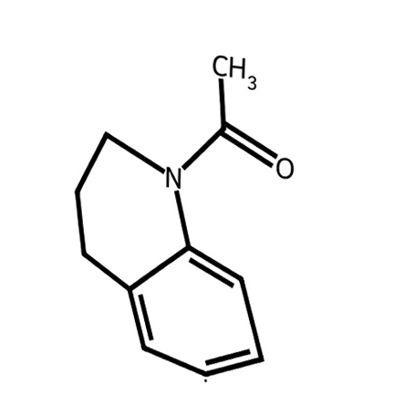 CC(=O)N1CCCc2c[c]ccc21